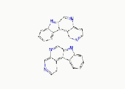 C1=NC=c2ncc3c(c2C1)-c1ccccc1N=3.C1=NCc2c3c(cnc2=C1)=Nc1ccccc1-3